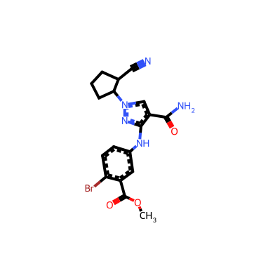 COC(=O)c1cc(Nc2nn(C3CCCC3C#N)cc2C(N)=O)ccc1Br